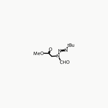 COC(=O)CN(C=O)N=NC(C)(C)C